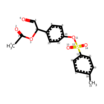 CC(=O)OC(C=O)c1ccc(OS(=O)(=O)c2ccc(C)cc2)cc1